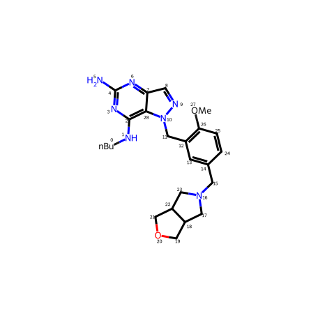 CCCCNc1nc(N)nc2cnn(Cc3cc(CN4CC5COCC5C4)ccc3OC)c12